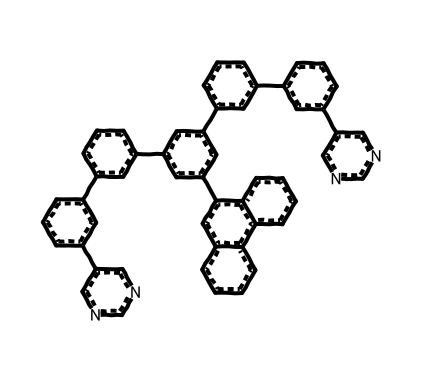 c1cc(-c2cncnc2)cc(-c2cccc(-c3cc(-c4cccc(-c5cccc(-c6cncnc6)c5)c4)cc(-c4cc5ccccc5c5ccccc45)c3)c2)c1